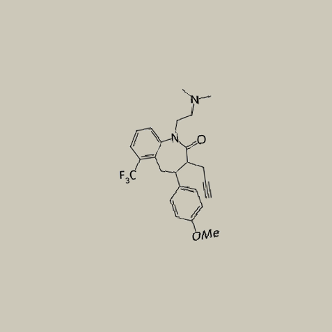 C#CCC1C(=O)N(CCN(C)C)c2cccc(C(F)(F)F)c2CC1c1ccc(OC)cc1